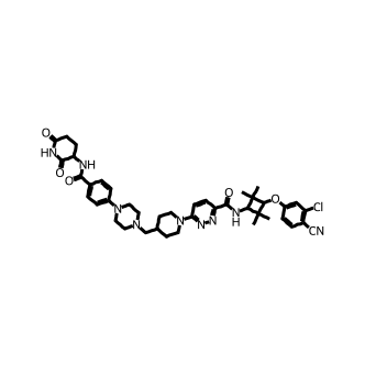 CC1(C)C(NC(=O)c2ccc(N3CCC(CN4CCN(c5ccc(C(=O)NC6CCC(=O)NC6=O)cc5)CC4)CC3)nn2)C(C)(C)C1Oc1ccc(C#N)c(Cl)c1